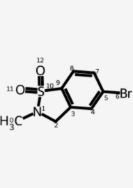 CN1Cc2cc(Br)ccc2S1(=O)=O